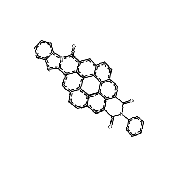 O=C1c2cc3ccc4cc5c(=O)n6c7ccccc7nc6c6cc7ccc8cc(c2c2c3c4c(c56)c7c82)C(=O)N1c1ccccc1